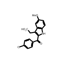 COc1ccc2[nH]c(C(=O)c3ccc(Cl)cc3)c(CC(=O)O)c2c1